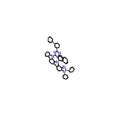 c1ccc(-c2cccc(-c3nc(-c4ccccc4)nc(-n4c5ccccc5c5ccc6c7ccc8c(nc(-c9ccccc9)n8-c8ccccc8)c7n(-c7ccccc7)c6c54)n3)c2)cc1